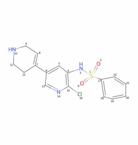 O=S(=O)(Nc1cc(C2=CCNCC2)cnc1Cl)c1ccccc1